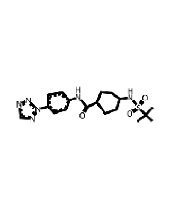 CC(C)(C)S(=O)(=O)NC1CCC(C(=O)Nc2ccc(-n3ncnn3)cc2)CC1